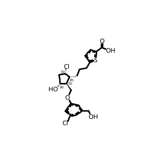 O=C(O)c1ccc(CCC[C@@H]2[C@@H](COc3cc(Cl)cc(CO)c3)[C@H](O)C[C@@H]2Cl)s1